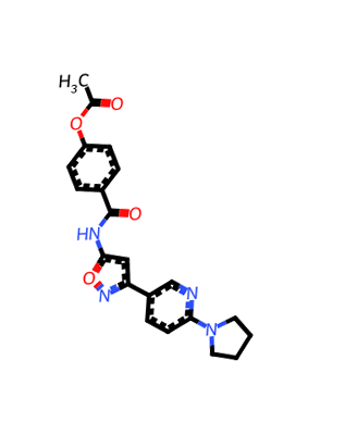 CC(=O)Oc1ccc(C(=O)Nc2cc(-c3ccc(N4CCCC4)nc3)no2)cc1